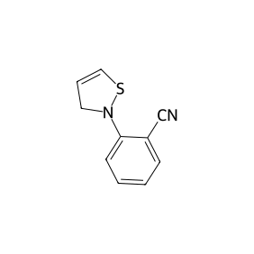 N#Cc1ccccc1N1CC=CS1